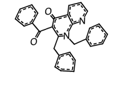 O=C(c1ccccc1)c1c(Cc2ccccc2)n(Cc2ccccc2)c2ncccc2c1=O